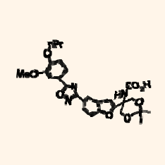 CCCOc1ccc(-c2nc(-c3ccc4oc(C5(NC(=O)O)COC(C)(C)OC5)cc4c3)no2)cc1OC